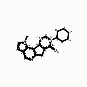 Cn1ccc2cnc3c(c21)-c1ncn(C2CCCCC2)c(=O)c1C3